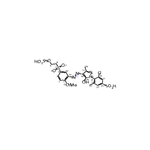 COc1ccc(S(=O)(=O)CCOS(=O)(=O)O)cc1/N=N/c1c(C)nn(-c2c(C)cc(S(=O)(=O)O)cc2Cl)c1O